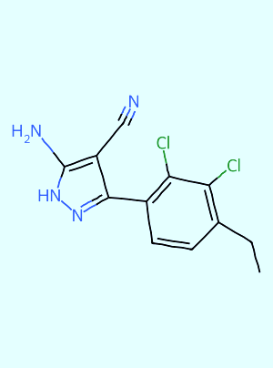 CCc1ccc(-c2n[nH]c(N)c2C#N)c(Cl)c1Cl